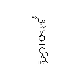 C=CCCC(/C=C\COCC(C)O)C(C)(C)C1=CC=C(OCC(C)OC(=O)/C=C/C(C)=O)CC1